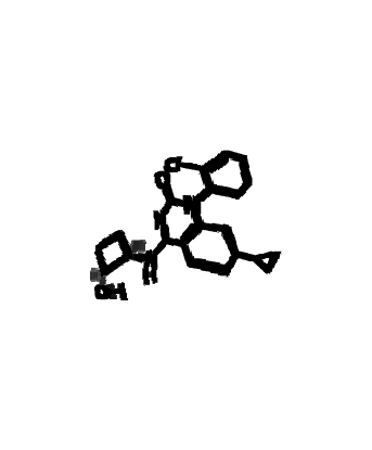 O=c1nc(N[C@@H]2CC[C@H]2O)c2ccc(C3CC3)cc2n1-c1ccccc1Cl